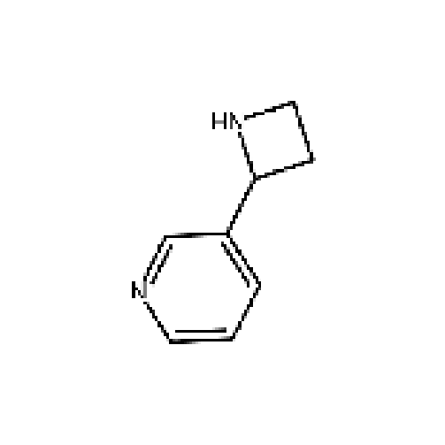 c1cncc(C2CCN2)c1